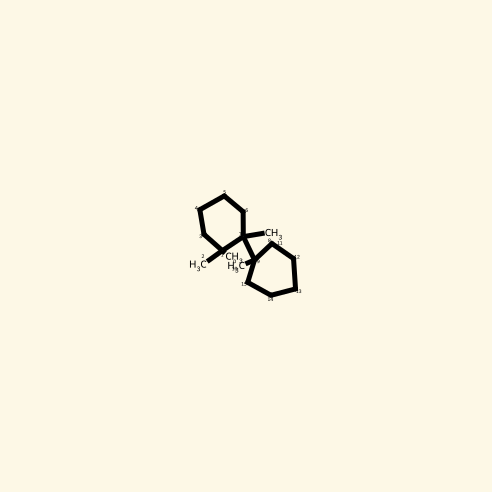 CC1(C)CCCCC1(C)C1(C)CCCCC1